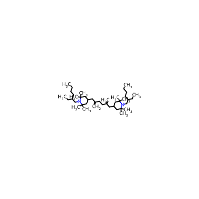 C=C(CCC(=C)CC1CC(C)(C)N(CC(CC)CCCC)C(C)(C)C1)CC1CC(C)(C)N(CC(CC)CCCC)C(C)(C)C1